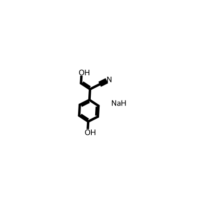 N#CC(=CO)c1ccc(O)cc1.[NaH]